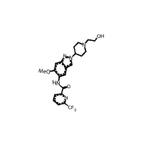 COc1cc2nn(C3CCN(CCO)CC3)cc2cc1NC(=O)c1cccc(C(F)(F)F)n1